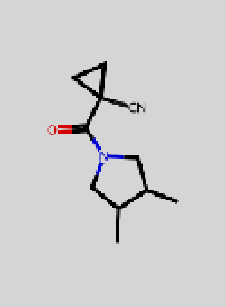 CC1CN(C(=O)C2(C#N)CC2)CC1C